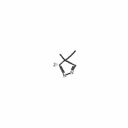 CC1(C)C=NN=C1.[Zn]